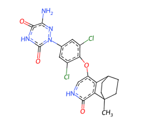 CC12CCC(CC1)c1c(Oc3c(Cl)cc(-n4nc(N)c(=O)[nH]c4=O)cc3Cl)c[nH]c(=O)c12